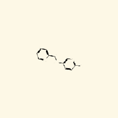 Brc1ccc(OCc2ccccn2)cn1